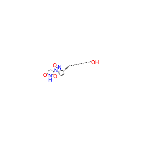 Cn1c(=O)n(C2CCC(=O)NC2=O)c2cccc(C#CCCCCCCCCCO)c21